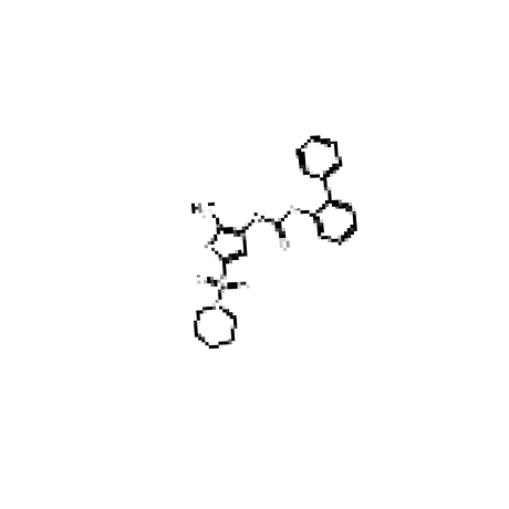 Cc1oc(S(=O)(=O)N2CCCCC2)cc1NC(=O)Nc1ccccc1-c1ccccc1